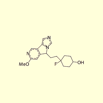 COc1cc2c(cn1)-c1cncn1C2CCC1(F)CCC(O)CC1